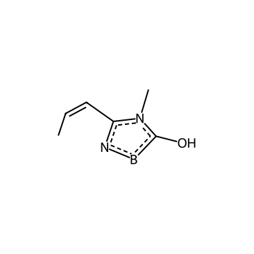 C/C=C\c1nbc(O)n1C